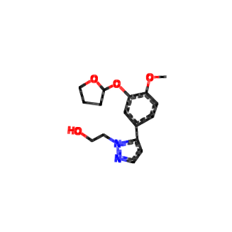 COc1ccc(-c2ccnn2CCO)cc1OC1CCCO1